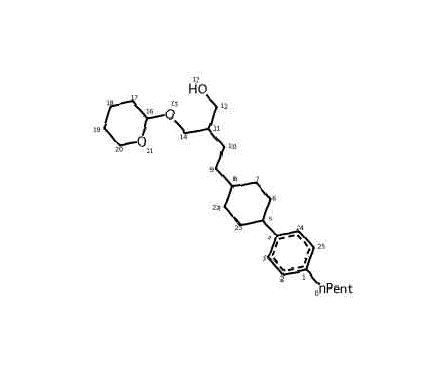 CCCCCc1ccc(C2CCC(CCC(CO)COC3CCCCO3)CC2)cc1